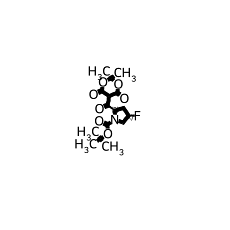 CC(C)(C)OC(=O)N1C[C@H](F)C[C@@H]1C(=O)C1C(=O)OC(C)(C)OC1=O